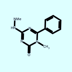 CNNc1nc(-c2ccccc2)n(C)c(=O)n1